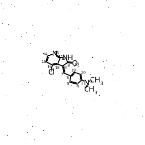 CN(C)c1ccc(C=C2C(=O)Nc3nccc(Cl)c32)cc1